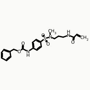 C=CC(=O)NCCCN(C)S(=O)(=O)c1ccc(NC(=O)OCc2ccccc2)cc1